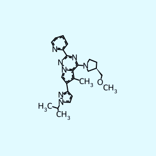 COC[C@@H]1CCN(c2nc(-c3ccccn3)nn3cc(-c4ccn(C(C)C)n4)c(C)c23)C1